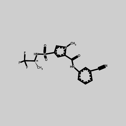 C[C@@H](NS(=O)(=O)c1cc(C(=O)Nc2cccc(C#N)c2)n(C)c1)C(F)(F)F